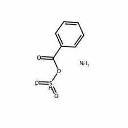 N.O=C(O[SH](=O)=O)c1ccccc1